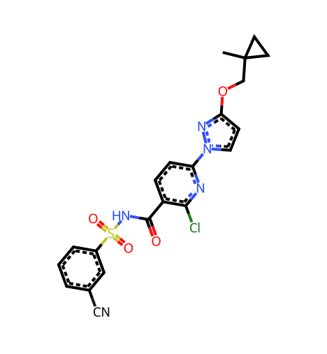 CC1(COc2ccn(-c3ccc(C(=O)NS(=O)(=O)c4cccc(C#N)c4)c(Cl)n3)n2)CC1